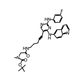 CN(CC(=O)NCCCC#Cc1cnc(Nc2cccc(F)c2)nc1Nc1ccc2ncccc2c1)C(=O)OC(C)(C)C